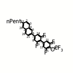 CCCCCc1ccc2cc(-c3cc(F)c(-c4cc(F)c(OC(F)(F)F)c(F)c4)c(F)c3)ccc2c1